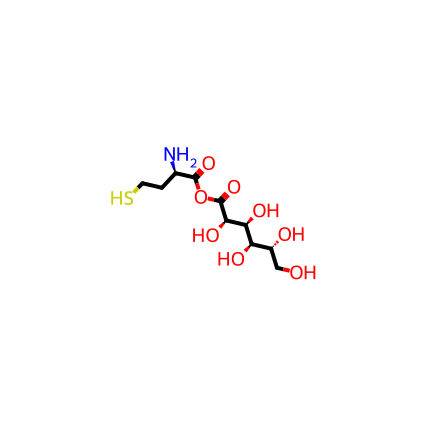 N[C@H](CCS)C(=O)OC(=O)[C@H](O)[C@@H](O)[C@H](O)[C@H](O)CO